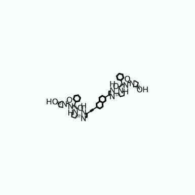 O=C(N[C@@H](C(=O)N1CCC[C@H]1c1nc(-c2ccc3cc(C#Cc4cnc([C@@H]5CCCN5C(=O)[C@H](NC(=O)N5CC[C@@H](O)C5)c5ccccc5)[nH]4)ccc3c2)c[nH]1)c1ccccc1)N1CC[C@@H](O)C1